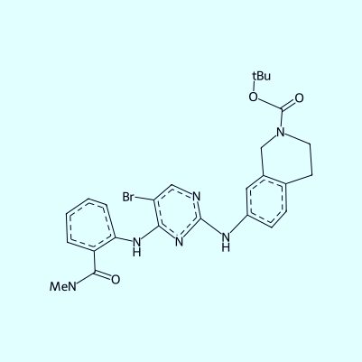 CNC(=O)c1ccccc1Nc1nc(Nc2ccc3c(c2)CN(C(=O)OC(C)(C)C)CC3)ncc1Br